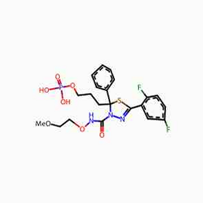 COCCONC(=O)N1N=C(c2cc(F)ccc2F)SC1(CCCOP(=O)(O)O)c1ccccc1